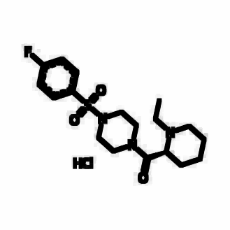 CCN1CCCC[C@H]1C(=O)N1CCN(S(=O)(=O)c2ccc(F)cc2)CC1.Cl